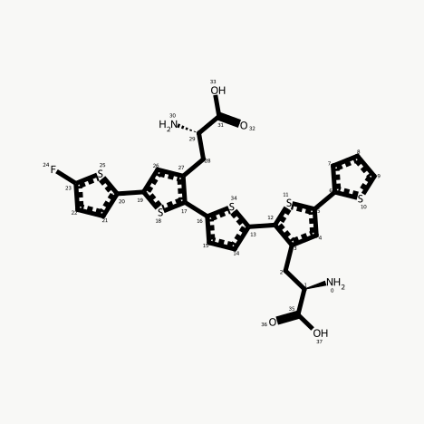 N[C@H](Cc1cc(-c2cccs2)sc1-c1ccc(-c2sc(-c3ccc(F)s3)cc2C[C@H](N)C(=O)O)s1)C(=O)O